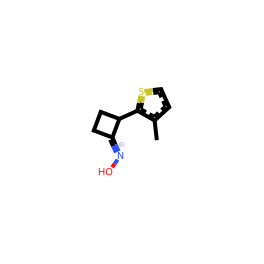 Cc1ccsc1C1CC/C1=N\O